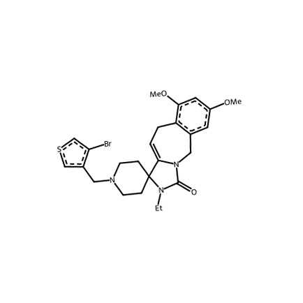 CCN1C(=O)N2Cc3cc(OC)cc(OC)c3CC=C2C12CCN(Cc1cscc1Br)CC2